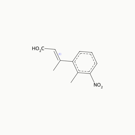 C/C(=C\C(=O)O)c1cccc([N+](=O)[O-])c1C